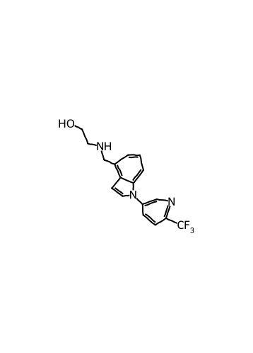 OCCNCc1cccc2c1ccn2-c1ccc(C(F)(F)F)nc1